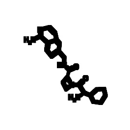 Nc1nccc2cc(CNC(=O)[C@@H]3CCN3C(=O)[C@H](N)C3CCCCC3)ccc12